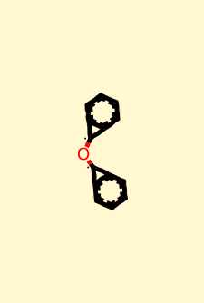 c1ccc2c(c1)[C]2O[C]1c2ccccc21